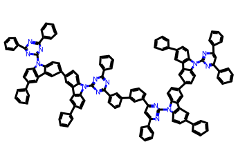 c1ccc(-c2ccc3c(c2)c2cc(-c4ccc5c(c4)c4cc(-c6ccccc6)ccc4n5-c4nc(-c5ccccc5)cc(-c5cccc(-c6cccc(-c7nc(-c8ccccc8)nc(-n8c9ccc(-c%10ccccc%10)cc9c9cc(-c%10ccc%11c(c%10)c%10cc(-c%12ccccc%12)ccc%10n%11-c%10nc(-c%11ccccc%11)nc(-c%11ccccc%11)n%10)ccc98)n7)c6)c5)n4)ccc2n3-c2nc(-c3ccccc3)cc(-c3ccccc3)n2)cc1